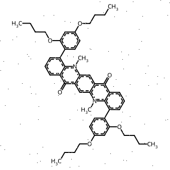 CCCCOc1ccc(-c2cccc3c(=O)c4cc5c(cc4n(C)c23)c(=O)c2cccc(-c3ccc(OCCCC)cc3OCCCC)c2n5C)c(OCCCC)c1